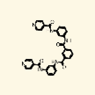 O=C(Nc1cccc(NC(=O)c2cccc(C(=O)Nc3cccc(NC(=O)c4ccncc4)c3)c2)c1)c1ccncc1